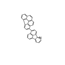 c1cnc2c(c1)-c1cccc3c(-c4ccc5c6c4ccc4ccc7cccc-5c7c46)ccc-2c13